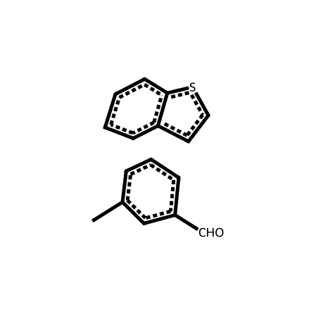 Cc1cccc(C=O)c1.c1ccc2sccc2c1